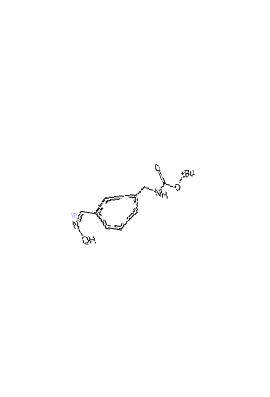 CC(C)(C)OC(=O)NCc1cccc(/C=N\O)c1